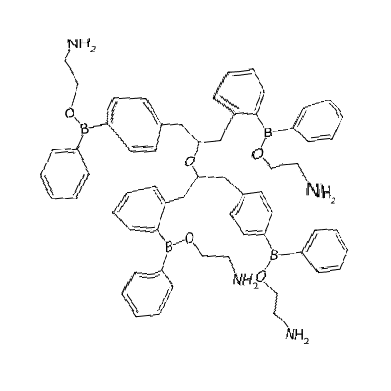 NCCOB(c1ccccc1)c1ccc(CC(Cc2ccccc2B(OCCN)c2ccccc2)OC(Cc2ccc(B(OCCN)c3ccccc3)cc2)Cc2ccccc2B(OCCN)c2ccccc2)cc1